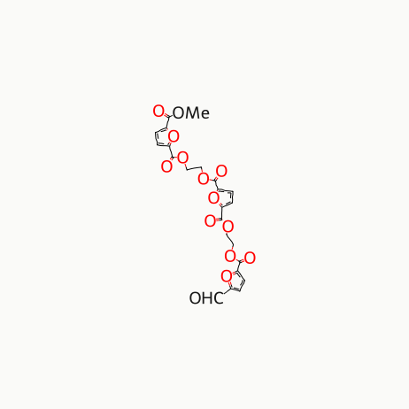 COC(=O)c1ccc(C(=O)OCCOC(=O)c2ccc(C(=O)OCCOC(=O)c3ccc(C=O)o3)o2)o1